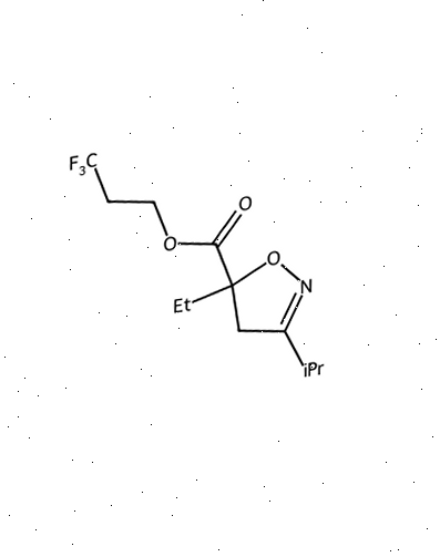 CCC1(C(=O)OCCC(F)(F)F)CC(C(C)C)=NO1